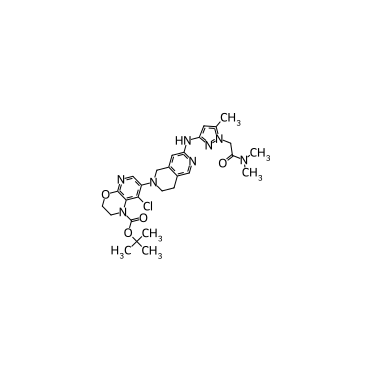 Cc1cc(Nc2cc3c(cn2)CCN(c2cnc4c(c2Cl)N(C(=O)OC(C)(C)C)CCO4)C3)nn1CC(=O)N(C)C